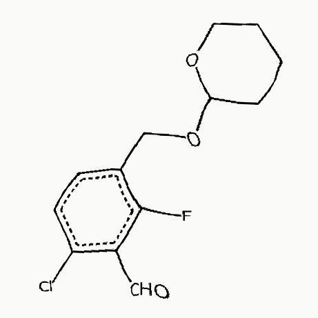 O=Cc1c(Cl)ccc(COC2CCCCO2)c1F